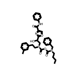 CCCCN(Cc1ccccc1)C(=O)OC(=O)N(CCc1cccc(C)c1)CC(O)c1nc(C(=O)Nc2ccccc2)co1